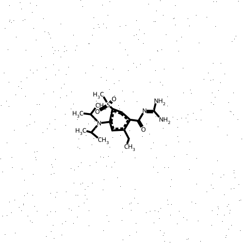 CCc1cc(N(C(C)C)C(C)C)c(S(C)(=O)=O)cc1C(=O)N=C(N)N